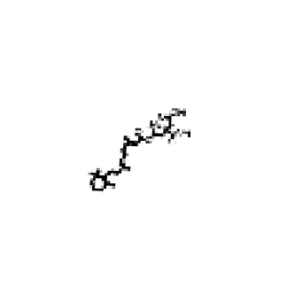 CC(C=CC1=C(C)CCCC1(C)C)=CC=CC(C)=CC(=O)OC(=O)CC(O)(CC(=O)O)C(=O)O